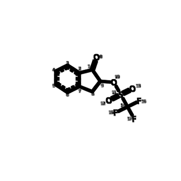 O=C1c2ccccc2CC1OS(=O)(=O)C(F)(F)F